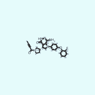 CC#CC(=O)N1CC[C@@H](c2cn(-c3ccc(Oc4ccccc4F)cc3)c3c(N)n[nH]c(=O)c23)C1